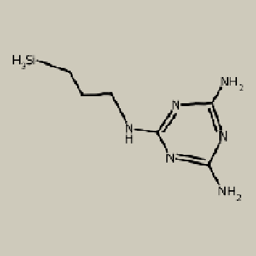 Nc1nc(N)nc(NCCC[SiH3])n1